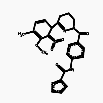 COC1=C(C)C=CC(C2=NN(C(=O)c3ccc(NC(=O)c4cccs4)cc3)CCC2)C1=S(=O)=O